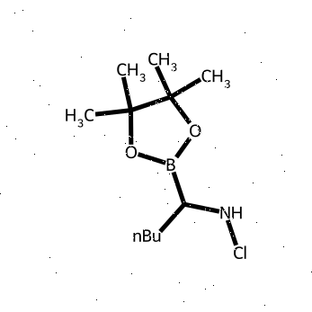 CCCCC(NCl)B1OC(C)(C)C(C)(C)O1